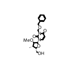 COC1[C@@H](C)[C@@H](CO)O[C@H]1n1ccc(=O)n(COCc2ccccc2)c1=O